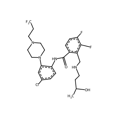 CC(O)CCNCc1c(C(=O)Nc2ccc(Cl)cc2N2CCN(CCC(F)(F)F)CC2)ccc(F)c1F